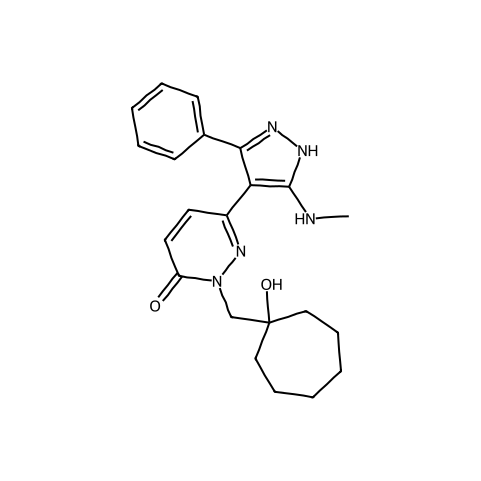 CNc1[nH]nc(-c2ccccc2)c1-c1ccc(=O)n(CC2(O)CCCCCC2)n1